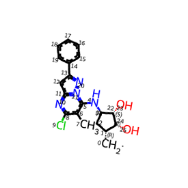 [CH2][C@@H]1C[C@@H](Nc2c(C)c(Cl)nc3cc(-c4ccccc4)nn23)[C@H](O)[C@@H]1O